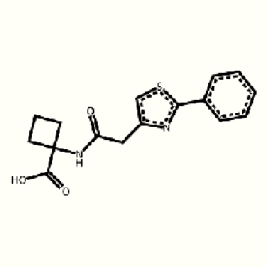 O=C(Cc1csc(-c2ccccc2)n1)NC1(C(=O)O)CCC1